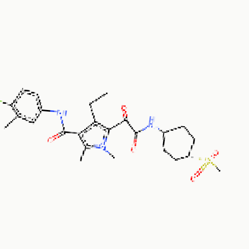 CCc1c(C(=O)Nc2ccc(F)c(C)c2)c(C)n(C)c1C(=O)C(=O)N[C@H]1CC[C@@H](S(C)(=O)=O)CC1